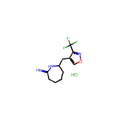 Cl.N=C1CCCCC(Cc2conc2C(F)(F)F)N1